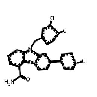 NC(=O)c1cccc2c1c1[c]cc(-c3ccc(Cl)cc3)cc1n2Cc1ccc(Cl)c(Cl)c1